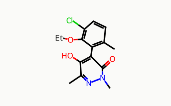 CCOc1c(Cl)ccc(C)c1-c1c(O)c(C)nn(C)c1=O